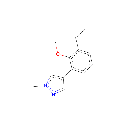 CCc1cccc(-c2cnn(C)c2)c1OC